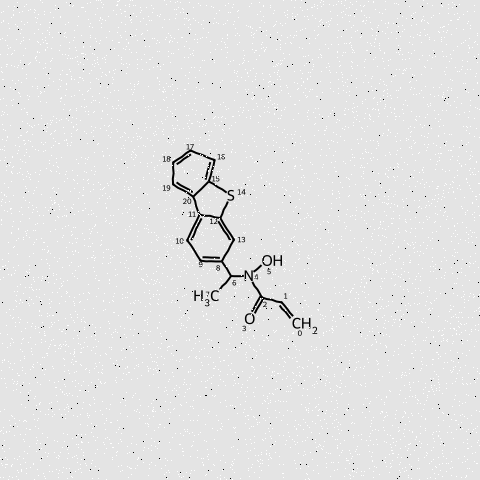 C=CC(=O)N(O)C(C)c1ccc2c(c1)sc1ccccc12